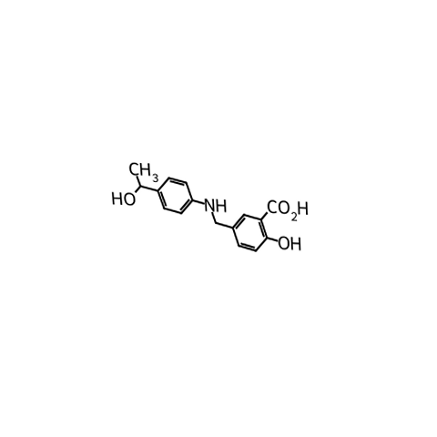 CC(O)c1ccc(NCc2ccc(O)c(C(=O)O)c2)cc1